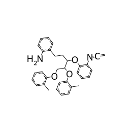 C=C=Nc1ccccc1OC(CCc1ccccc1N)C(COc1ccccc1C)Oc1ccccc1C